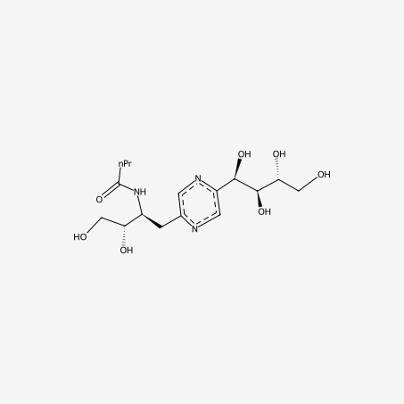 CCCC(=O)N[C@@H](Cc1cnc([C@@H](O)[C@H](O)[C@H](O)CO)cn1)[C@H](O)CO